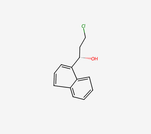 O[C@@H](CCCl)c1cccc2ccccc12